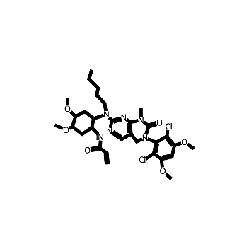 C=CC(=O)NC1CC(OC)C(OC)CC1N(CCCCC)c1ncc2c(n1)N(C)C(=O)N(c1c(Cl)c(OC)cc(OC)c1Cl)C2